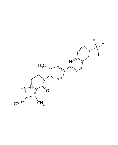 CC1=C2C(=O)N(c3ccc(-c4ncc5cc(C(F)(F)F)ccc5n4)cc3C)CCN2NC1C=O